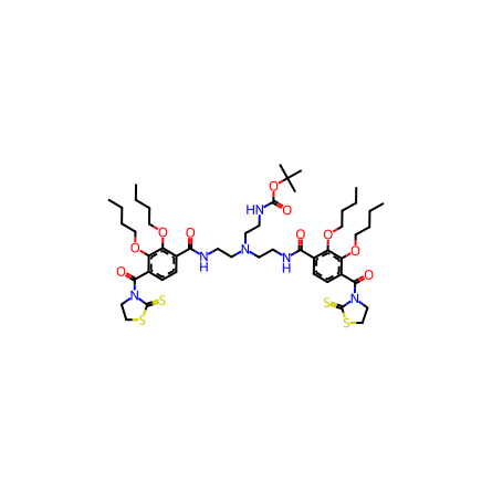 CCCCOc1c(C(=O)NCCN(CCNC(=O)OC(C)(C)C)CCNC(=O)c2ccc(C(=O)N3CCSC3=S)c(OCCCC)c2OCCCC)ccc(C(=O)N2CCSC2=S)c1OCCCC